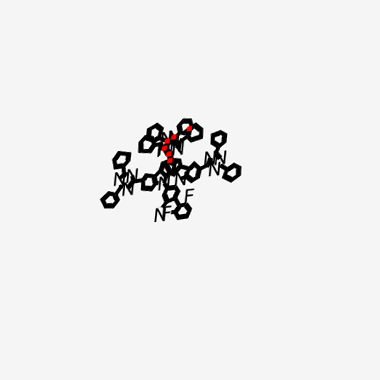 N#Cc1cc(-n2c3ccc(-c4nc(-c5ccccc5)nc(-c5ccccc5)n4)cc3c3cc(-c4nc(-c5ccccc5)nc(-c5ccccc5)n4)ccc32)c(-n2c3ccc(-c4nc(-c5ccccc5)nc(-c5ccccc5)n4)cc3c3cc(-c4nc(-c5ccccc5)nc(-c5ccccc5)n4)ccc32)cc1-c1c(F)cccc1F